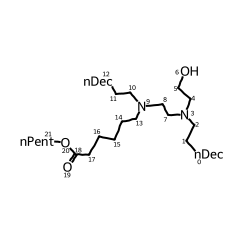 CCCCCCCCCCCCN(CCO)CCN(CCCCCCCCCCCC)CCCCCC(=O)OCCCCC